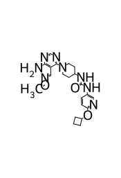 CON=Cc1c(N)ncnc1N1CCC(NC(=O)Nc2ccc(OC3CCC3)nc2)CC1